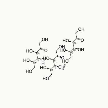 C=C.O=C(CO)[C@H](O)[C@@H](O)[C@H](O)CO.O=C(CO)[C@H](O)[C@@H](O)[C@H](O)CO.O=C(CO)[C@H](O)[C@@H](O)[C@H](O)CO